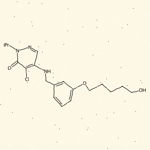 CC(C)n1ncc(NCc2cccc(OCCCCCO)c2)c(Cl)c1=O